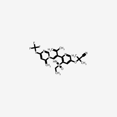 C=C(C)/C(=C\N1C=NC(SC(F)(F)F)=CC1=C)c1ncc(OC(C)(C)C#N)cc1S(=N)(=O)CC